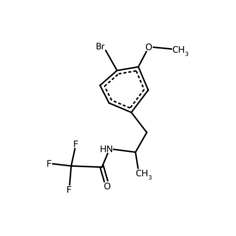 COc1cc(CC(C)NC(=O)C(F)(F)F)ccc1Br